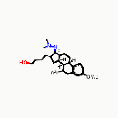 CCC[C@@H]1Cc2cc(OC)ccc2[C@H]2CC[C@]3(C)C(=NN(C)C)[C@H](CCCCO)C[C@H]3[C@H]12